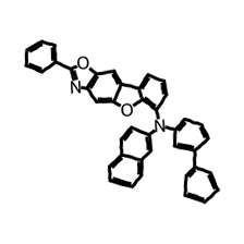 c1ccc(-c2cccc(N(c3ccc4ccccc4c3)c3cccc4c3oc3cc5nc(-c6ccccc6)oc5cc34)c2)cc1